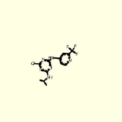 CC(C)Nc1nc(Cl)nc(Nc2ccnc(C(F)(F)F)c2)n1